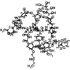 CCNCCOc1ccc(C(=O)NC(=O)C[C@@H]2NC(=O)[C@H](NC(=O)[C@@H](CC(C)C)NC)[C@H](O)c3ccc(c(Cl)c3)Oc3cc4cc(c3O[C@@H]3O[C@H](CO)[C@@H](O)[C@H](O)[C@H]3O)Oc3ccc(cc3Cl)[C@@H](O)[C@@H]3NC(=O)[C@H](NC(=O)[C@@H]4NC2=O)c2ccc4c(c2)-c2c(cc(O)cc2C4(O)O)[C@@H](C(=O)NC2C4CC5CC(C4)CC2C5)NC3=O)cc1OCCNCC